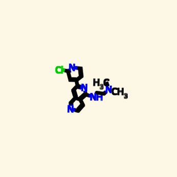 CN(C)CCNc1nc(-c2ccnc(Cl)c2)cc2cnccc12